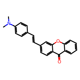 CN(C)c1ccc(C=Cc2ccc3c(=O)c4ccccc4oc3c2)cc1